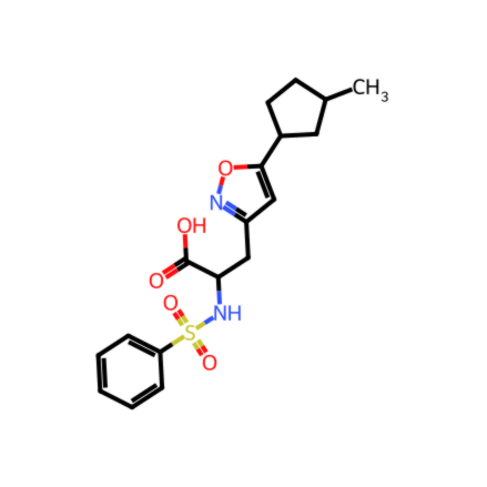 CC1CCC(c2cc(CC(NS(=O)(=O)c3ccccc3)C(=O)O)no2)C1